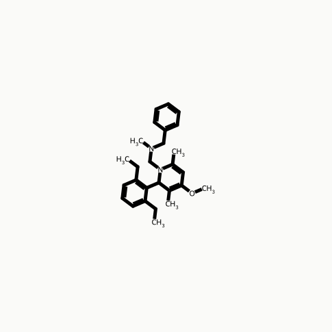 CCc1cccc(CC)c1C1C(C)=C(OC)C=C(C)N1CN(C)Cc1ccccc1